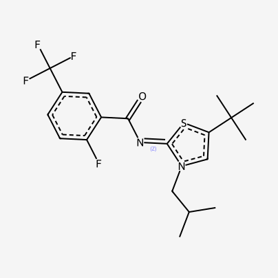 CC(C)Cn1cc(C(C)(C)C)s/c1=N\C(=O)c1cc(C(F)(F)F)ccc1F